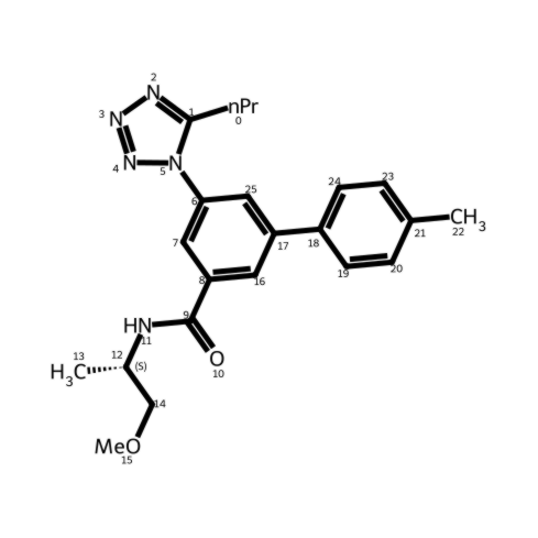 CCCc1nnnn1-c1cc(C(=O)N[C@@H](C)COC)cc(-c2ccc(C)cc2)c1